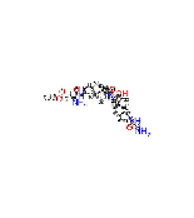 CC(C)(C)OC(=O)CC[C@H](N)C(=O)Nc1ccc2c(c1)[C@@]1(C)CCC[C@](C)(C(=O)NC(O)[C@@]3(C)CCC[C@]4(C)c5cc(NC(=O)CN)ccc5CC[C@H]43)[C@@H]1CC2